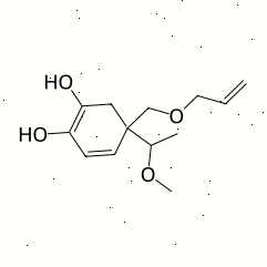 C=CCOCC1(C(C)OC)C=CC(O)=C(O)C1